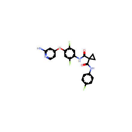 [NH]c1cc(Oc2cc(F)c(NC(=O)C3(C(=O)Nc4ccc(F)cc4)CC3)cc2F)ccn1